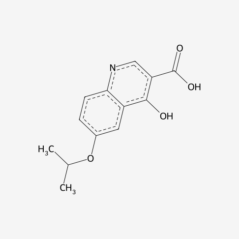 CC(C)Oc1ccc2ncc(C(=O)O)c(O)c2c1